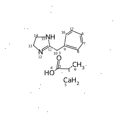 CCC(=O)O.[CaH2].c1ccc(CC2=NCCN2)cc1